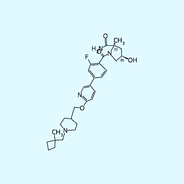 CC1(CN2CCC(COc3ccc(-c4ccc(C(=O)N5C[C@H](O)C[C@@]5(C)C(N)=O)c(F)c4)cn3)CC2)CCC1